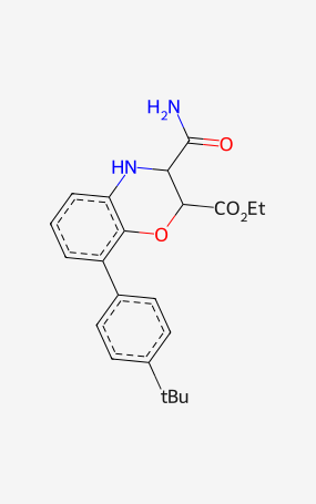 CCOC(=O)C1Oc2c(cccc2-c2ccc(C(C)(C)C)cc2)NC1C(N)=O